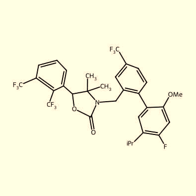 COc1cc(F)c(C(C)C)cc1-c1ccc(C(F)(F)F)cc1CN1C(=O)OC(c2cccc(C(F)(F)F)c2C(F)(F)F)C1(C)C